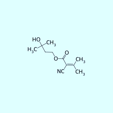 CC(C)=C(C#N)C(=O)OCCC(C)(C)O